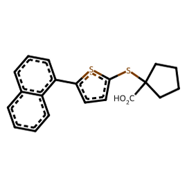 O=C(O)C1(Sc2ccc(-c3cccc4ccccc34)s2)CCCC1